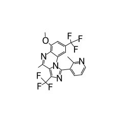 COc1cc(C(F)(F)F)cc2c1nc(C)c1c(C(F)(F)F)nc(-c3cccnc3C)n12